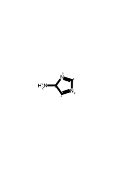 NC1C=NC=N1